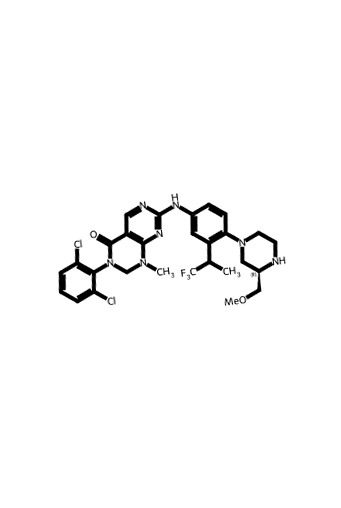 COC[C@H]1CN(c2ccc(Nc3ncc4c(n3)N(C)CN(c3c(Cl)cccc3Cl)C4=O)cc2C(C)C(F)(F)F)CCN1